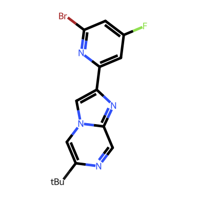 CC(C)(C)c1cn2cc(-c3cc(F)cc(Br)n3)nc2cn1